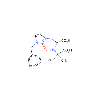 CCCC(C)(NC(Cn1ccn(Cc2ccccc2)c1=O)C(=O)O)C(=O)O